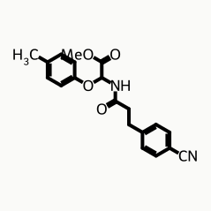 COC(=O)C(NC(=O)CCc1ccc(C#N)cc1)Oc1ccc(C)cc1